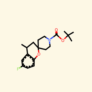 CC1CC2(CCN(C(=O)OC(C)(C)C)CC2)Oc2ccc(F)cc21